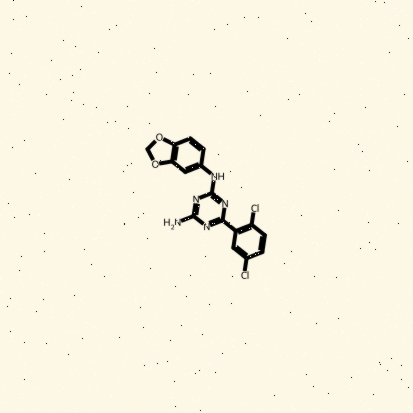 Nc1nc(Nc2ccc3c(c2)OCO3)nc(-c2cc(Cl)ccc2Cl)n1